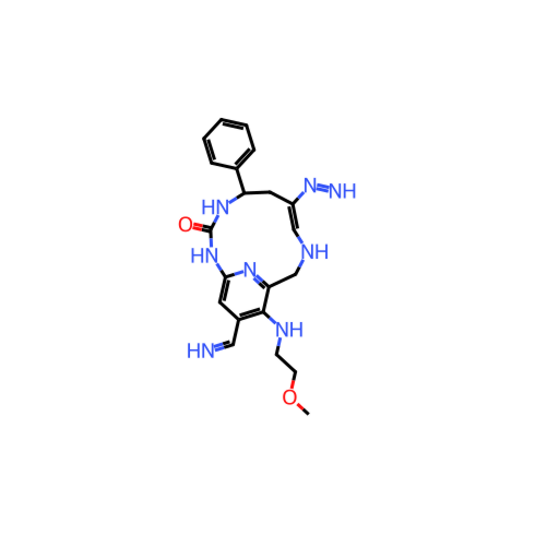 COCCNc1c(C=N)cc2nc1CN/C=C(\N=N)CC(c1ccccc1)NC(=O)N2